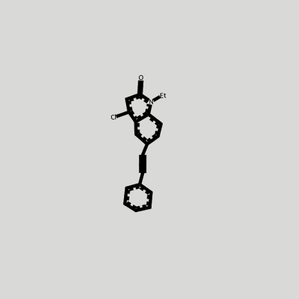 CCn1c(=O)cc(Cl)c2cc(C#Cc3ccccc3)ccc21